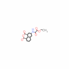 CCOC(=O)C(=O)Nc1cc2c3c(cccc3c1)C(=O)OC2=O